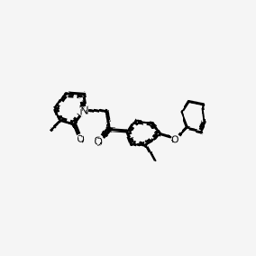 Cc1cc(C(=O)Cn2cccc(C)c2=O)ccc1OC1C=CCCC1